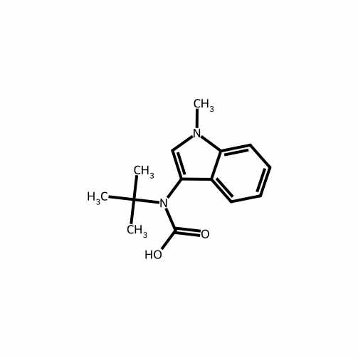 Cn1cc(N(C(=O)O)C(C)(C)C)c2ccccc21